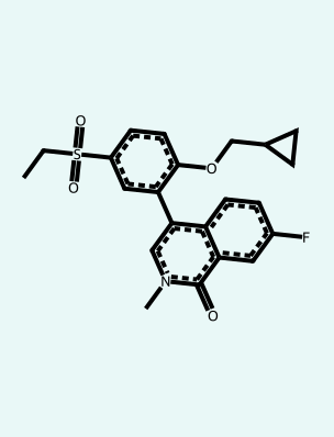 CCS(=O)(=O)c1ccc(OCC2CC2)c(-c2cn(C)c(=O)c3cc(F)ccc23)c1